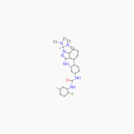 CCN(CC)C(C)(N(CC)CC)n1nc(N)c2c(-c3ccc(NC(=O)Nc4cc(C)ccc4F)cc3)cccc21